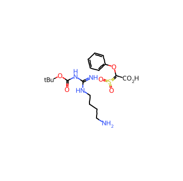 CC(C)(C)OC(=O)NC(=N)NCCCCN.O=C(O)C(Oc1ccccc1)=S(=O)=O